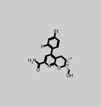 CCc1ccc(-c2cc(C(N)=O)nc3c2C[C@H](C)[C@H](CO)O3)c(F)c1